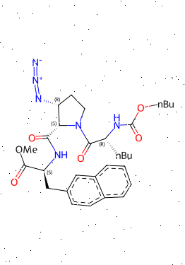 CCCCOC(=O)N[C@H](CCCC)C(=O)N1CC[C@@H](N=[N+]=[N-])[C@H]1C(=O)N[C@@H](Cc1ccc2ccccc2c1)C(=O)OC